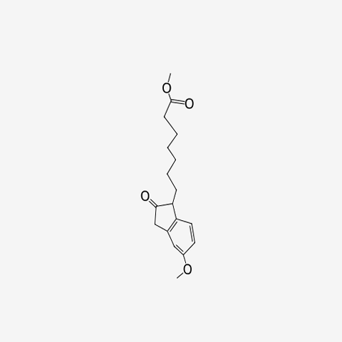 COC(=O)CCCCCCC1C(=O)Cc2cc(OC)ccc21